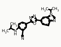 CC(C)Nc1ccc(-c2nnc(-c3ccc4ncn(C(C)C)c4c3)o2)cc1C#N